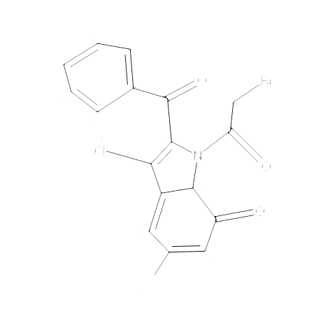 O=C(C1=C(Cl)C2=CC(F)=CC(=O)C2N1C(=O)CBr)c1ccccc1